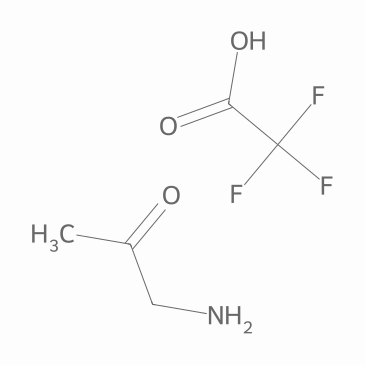 CC(=O)CN.O=C(O)C(F)(F)F